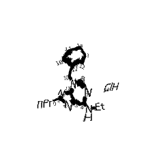 CCCc1nc2c(NCC)ncn(Cc3ccccc3)c-2n1.Cl